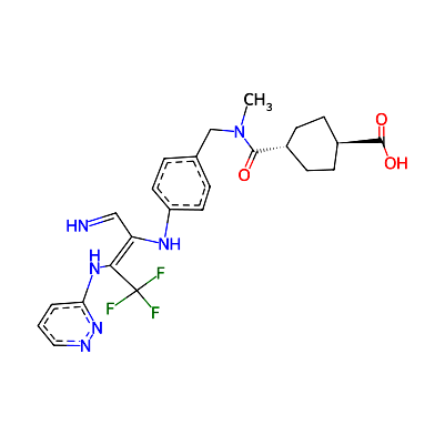 CN(Cc1ccc(N/C(C=N)=C(/Nc2cccnn2)C(F)(F)F)cc1)C(=O)[C@H]1CC[C@H](C(=O)O)CC1